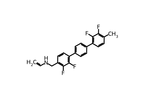 C=CNCc1ccc(-c2ccc(-c3ccc(C)c(F)c3F)cc2)c(F)c1F